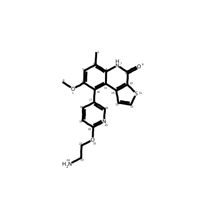 COc1cc(C)c2[nH]c(=O)c3sccc3c2c1-c1ccc(OCCN)nc1